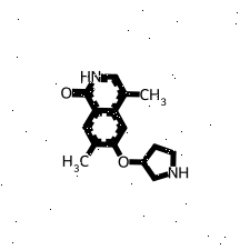 Cc1cc2c(=O)[nH]cc(C)c2cc1OC1CCNC1